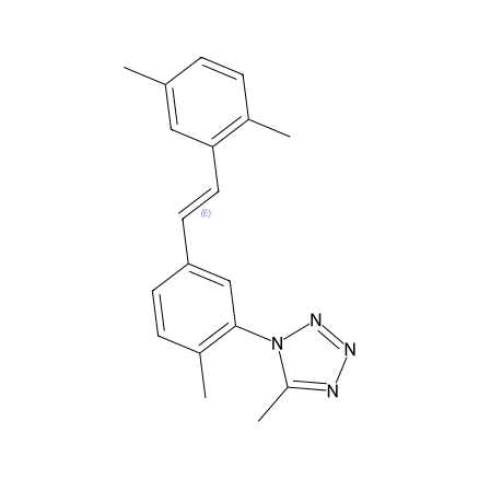 Cc1ccc(C)c(/C=C/c2ccc(C)c(-n3nnnc3C)c2)c1